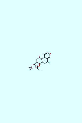 CC(=O)OCC(=O)[C@@]12OC(C)(C)OC1C[C@H]1[C@@H]3CC(F)C4=CC(=O)C=C[C@]4(C)C3(F)C(O)C[C@@]12C